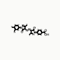 CC1=NN(c2ccc(C(=O)O)cc2)C(=O)C1/N=N/C1C(=O)N(c2ccc(C)c(C)c2)N=C1C